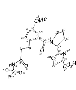 CCS(=O)(=O)NC(=O)CCc1ccc(OC)cc1C(=O)N1CCCC1c1nc(C(=O)O)co1